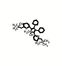 C[Si](C)(C)Cc1cccc(C2=C(c3ccccc3)C(c3ccccc3)=C(c3cccc(C[Si](C)(C)C)n3)[Si]2(C)C)n1